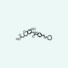 Cl.O=C(O)CC1COc2ccc(NC(=O)c3ccc(C=NN4CCCCC4)cc3)cc2C1